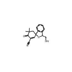 CC1(C)CC2(C=C(C#N)C1=O)OC(CO)c1ccccc12